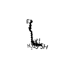 CC/C=C\CCCC/C=C\CCCCCCCCCCC(=O)OC(C)OC(=O)NCCS